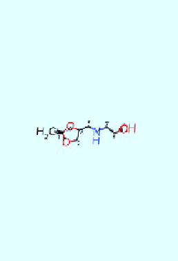 C=C1OCC(CNCCO)O1